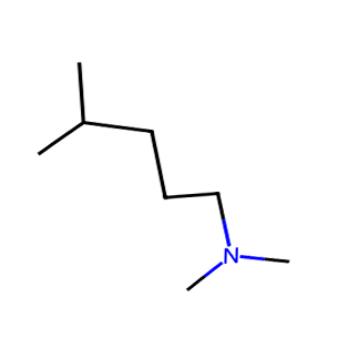 CC(C)CCCN(C)C